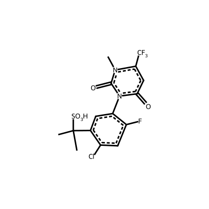 Cn1c(C(F)(F)F)cc(=O)n(-c2cc(C(C)(C)S(=O)(=O)O)c(Cl)cc2F)c1=O